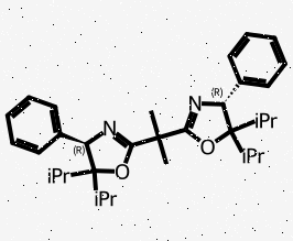 CC(C)C1(C(C)C)OC(C(C)(C)C2=N[C@H](c3ccccc3)C(C(C)C)(C(C)C)O2)=N[C@@H]1c1ccccc1